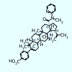 C=C(C)[C@@H]1CC[C@]2(C(=O)N(C)c3ccccn3)CC[C@]3(C)[C@H](CC[C@@H]4[C@@]5(C)CC=C(c6ccc(C(=O)O)cc6)C(C)(C)[C@@H]5CC[C@]43C)[C@@H]12